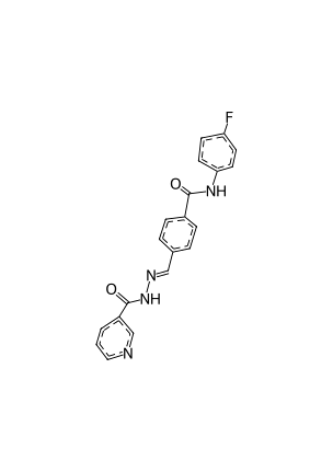 O=C(NN=Cc1ccc(C(=O)Nc2ccc(F)cc2)cc1)c1cccnc1